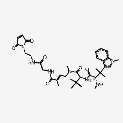 CN[C@H](C(=O)NC(C(=O)N(C)C/C=C(\C)C(=O)NCC(=O)NCCN1C(=O)C=CC1=O)C(C)(C)C)C(C)(C)c1cn(C)c2ccccc12